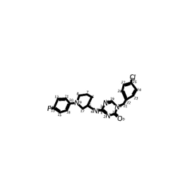 O=c1nc(NC2CCCN(c3ccc(F)cc3)C2)ncn1Cc1ccc(Cl)cc1